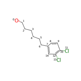 [O]CCCCCCc1ccc(Cl)c(Cl)c1